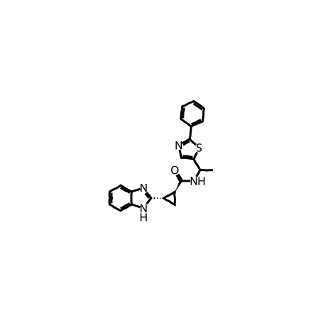 CC(NC(=O)[C@H]1C[C@@H]1c1nc2ccccc2[nH]1)c1cnc(-c2ccccc2)s1